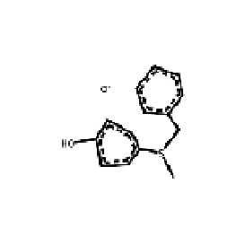 C[S+](Cc1ccccc1)c1ccc(O)cc1.[Cl-]